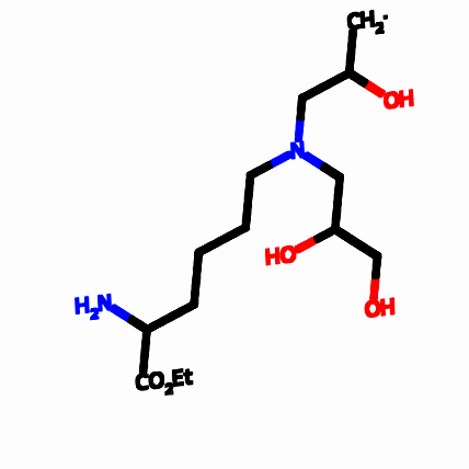 [CH2]C(O)CN(CCCCC(N)C(=O)OCC)CC(O)CO